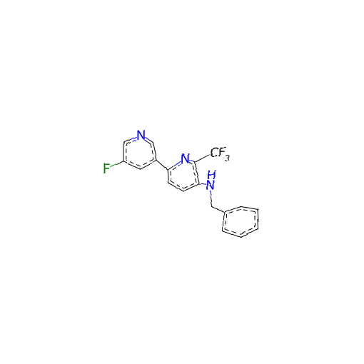 Fc1cncc(-c2ccc(NCc3ccccc3)c(C(F)(F)F)n2)c1